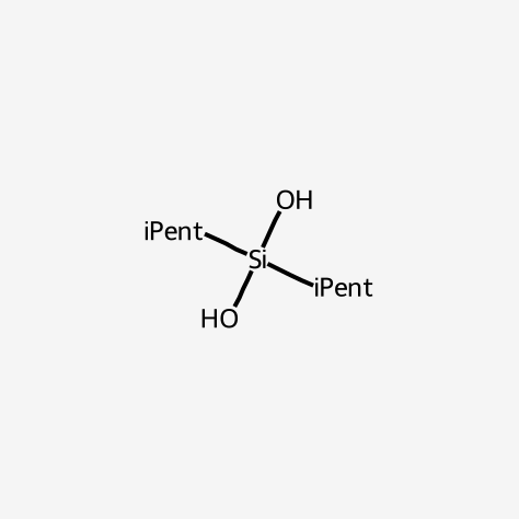 CCCC(C)[Si](O)(O)C(C)CCC